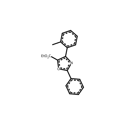 CCOC(=O)c1oc(-c2ccccc2)nc1-c1ccccc1C